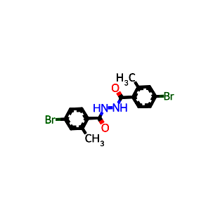 Cc1cc(Br)ccc1C(=O)NNC(=O)c1ccc(Br)cc1C